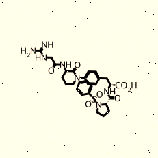 N=C(N)NCC(=O)NC1CCCN(c2ccc(C[C@H](NC(=O)[C@@H]3CCCN3S(=O)(=O)c3ccccc3)C(=O)O)cc2)C1=O